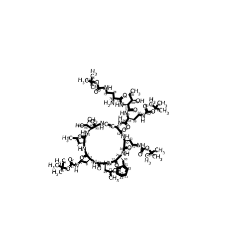 CCC[C@@H]1NC(=O)[C@H](CCNC(=O)OC(C)(C)C)NC(=O)[C@H](CC(C)C)NC(=O)[C@@H](Cc2ccccc2)NC(=O)[C@H](CCNC(=O)OC(C)(C)C)NC(=O)[C@@H](NC(=O)[C@H](CCNC(=O)OC(C)(C)C)NC(=O)[C@@H](NC(=O)[C@@H](N)CCNC(=O)OC(C)(C)C)[C@H](O)CC)CCNC(=O)[C@H]([C@@H](C)O)NC1=O